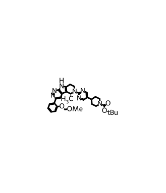 COCOc1ccccc1-c1cc2c3c([nH]c2nn1)CCN(c1ncc(C2CCN(C(=O)OC(C)(C)C)CC2)cn1)[C@@H]3C